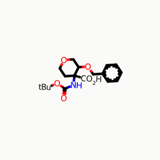 CC(C)(C)OC(=O)NC1(C(=O)O)CCOCC1OCc1ccccc1